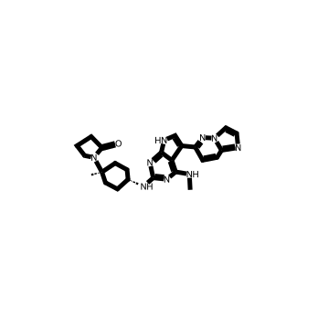 CNc1nc(N[C@H]2CC[C@](C)(N3CCCC3=O)CC2)nc2[nH]cc(-c3ccc4nccn4n3)c12